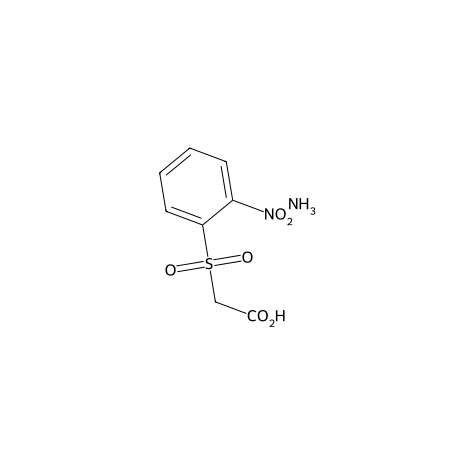 N.O=C(O)CS(=O)(=O)c1ccccc1[N+](=O)[O-]